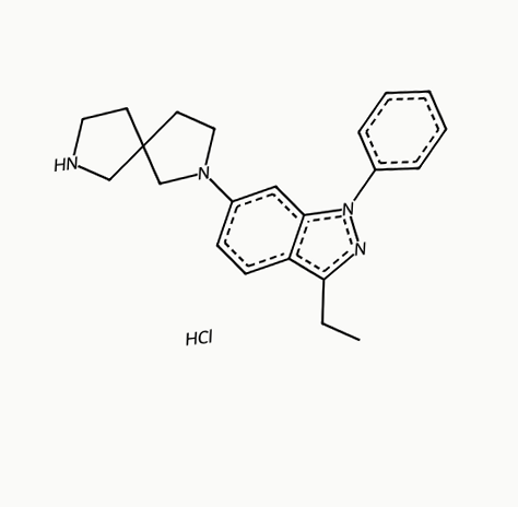 CCc1nn(-c2ccccc2)c2cc(N3CCC4(CCNC4)C3)ccc12.Cl